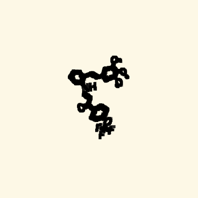 COc1cc(C=Cc2ccccc2NC=CC(=O)c2ccc(OC(F)(F)F)cc2)cc(OC)c1OC